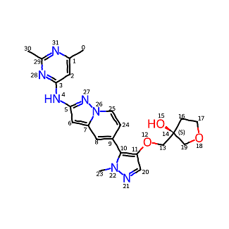 Cc1cc(Nc2cc3cc(-c4c(OC[C@]5(O)CCOC5)cnn4C)ccn3n2)nc(C)n1